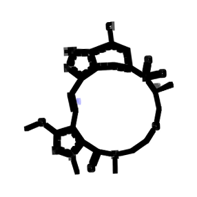 COc1nn(C)c2c1/C=C/c1n[nH]c3c(Cl)cc(cc13)S(=O)(=O)[C@@H](C)COCCN(C)C2=O